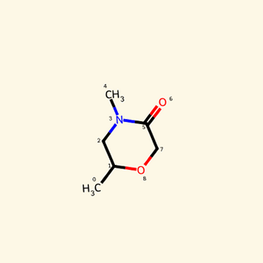 CC1CN(C)C(=O)CO1